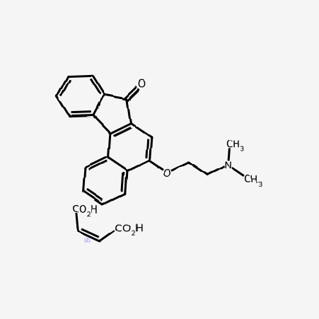 CN(C)CCOc1cc2c(c3ccccc13)-c1ccccc1C2=O.O=C(O)/C=C\C(=O)O